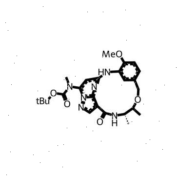 COc1ccc2cc1Nc1cc(N(C)C(=O)OC(C)(C)C)n3ncc(c3n1)C(=O)N[C@@H](C)C(C)OC2